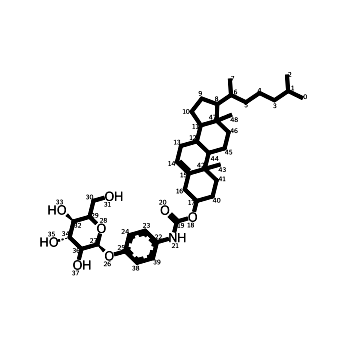 CC(C)CCCC(C)C1CCC2C3CC=C4CC(OC(=O)Nc5ccc(O[C@@H]6OC(CO)[C@H](O)[C@@H](O)C6O)cc5)CCC4(C)C3CCC12C